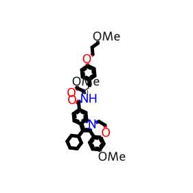 COCCCOc1ccc(C[C@H](NC(=O)c2ccc3c(C4CCCCC4)c4n(c3c2)CCOc2cc(OC)ccc2-4)C(=O)OC)cc1